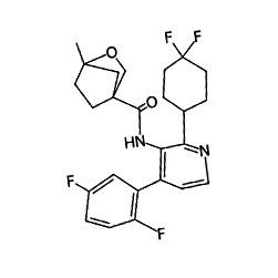 CC12CCC(C(=O)Nc3c(-c4cc(F)ccc4F)ccnc3C3CCC(F)(F)CC3)(CO1)C2